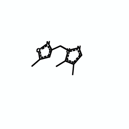 Cc1cc(Cn2ncc(C)c2C)no1